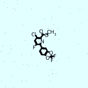 COC(=O)c1nc(-c2ccc3c(c2)OC(F)(F)O3)c(F)cc1Cl